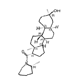 C[C@@H]1CCCCN1C(=O)[C@H]1CC[C@H]2[C@@H]3CC[C@@H]4C[C@](C)(O)CC[C@@H]4[C@H]3CC[C@]12C